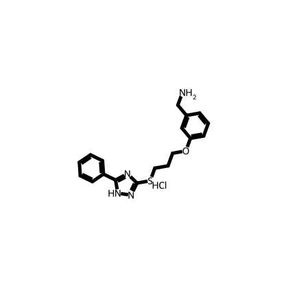 Cl.NCc1cccc(OCCCSc2n[nH]c(-c3ccccc3)n2)c1